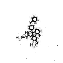 CCc1cccc(-c2c(F)cccc2C(O)(CCCCOC)C2CCN(Cc3ccccc3)CC2)c1